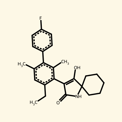 CCc1cc(C)c(-c2ccc(F)cc2)c(C)c1C1=C(O)C2(CCCCC2)NC1=O